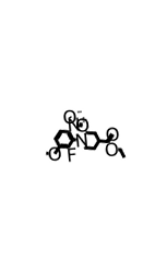 CCOC(=O)C1CCN(c2c([N+](=O)[O-])ccc(OC)c2F)CC1